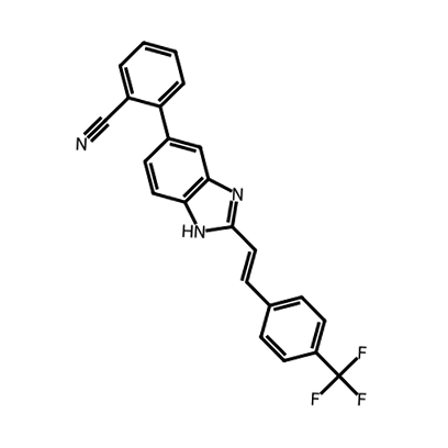 N#Cc1ccccc1-c1ccc2[nH]c(/C=C/c3ccc(C(F)(F)F)cc3)nc2c1